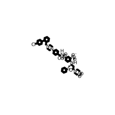 O=C(NS(=O)(=O)c1ccc(N[C@@H](CSc2ccccc2)CC(=O)N2CCS(=O)(=O)CC2)c([N+](=O)[O-])c1)c1ccc(N2CCN(Cc3ccccc3-c3ccc(Cl)cc3)CC2)cc1